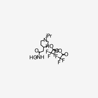 CC(C)N1CCC(CC(=O)NO)CC1.O=C(O)C(F)(F)F.O=C(O)C(F)(F)F